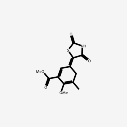 COC(=O)C1=CC(=C2SC(=O)NC2=O)CC(C)=C1OC